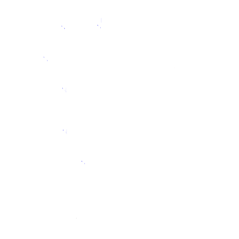 Cc1ccc(N2CCN(c3cc(Nc4ccc(OC(F)(F)F)cc4)ncn3)CC2)nc1